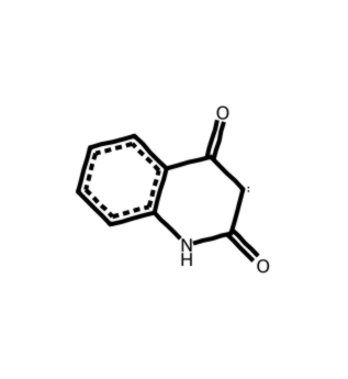 O=C1[C]C(=O)c2ccccc2N1